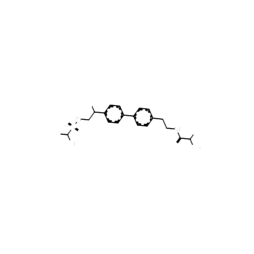 CC(C)C(=O)NCCc1ccc(-c2ccc(C(C)CNS(=O)(=O)C(C)C)cc2)cc1